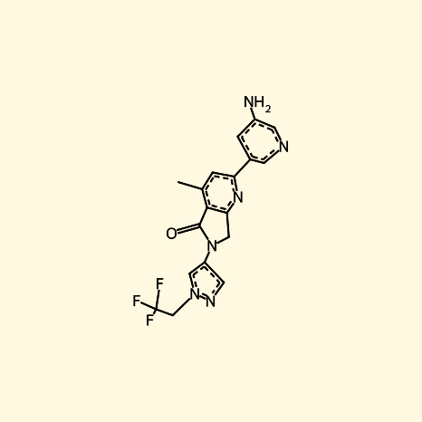 Cc1cc(-c2cncc(N)c2)nc2c1C(=O)N(c1cnn(CC(F)(F)F)c1)C2